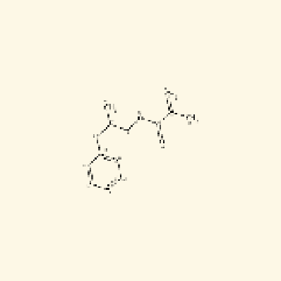 C=C(C)C(=O)OCC(C)Cc1ccccc1